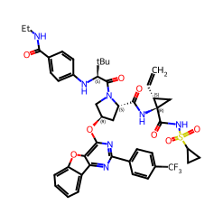 C=C[C@@H]1C[C@]1(NC(=O)[C@@H]1C[C@@H](Oc2nc(-c3ccc(C(F)(F)F)cc3)nc3c2oc2ccccc23)CN1C(=O)[C@@H](Nc1ccc(C(=O)NCC)cc1)C(C)(C)C)C(=O)NS(=O)(=O)C1CC1